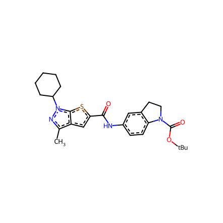 Cc1nn(C2CCCCC2)c2sc(C(=O)Nc3ccc4c(c3)CCN4C(=O)OC(C)(C)C)cc12